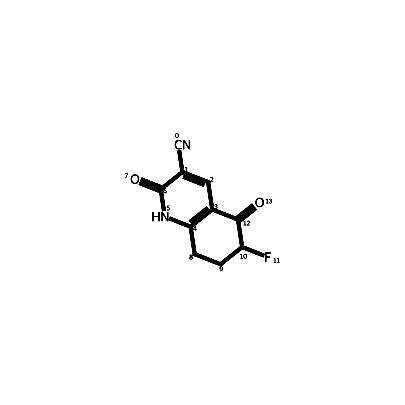 N#Cc1cc2c([nH]c1=O)CCC(F)C2=O